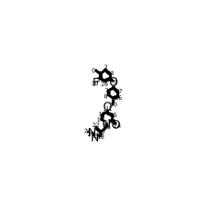 Cc1ccc(Oc2ccc(COc3ccn(Cc4cnn(C)c4)c(=O)c3)cc2)cc1F